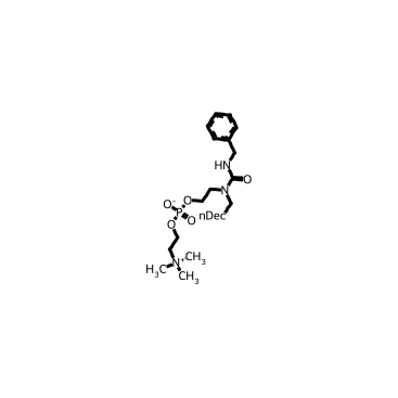 CCCCCCCCCCCN(CCOP(=O)([O-])OCC[N+](C)(C)C)C(=O)NCc1ccccc1